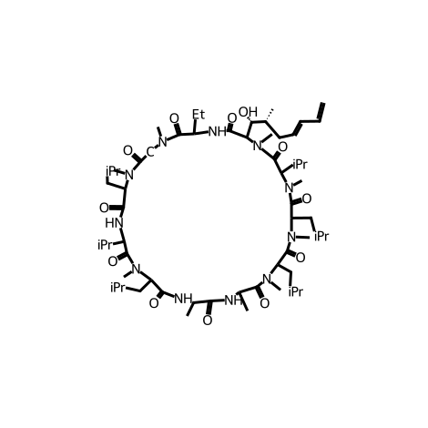 C=C/C=C/C[C@@H](C)[C@@H](O)C1C(=O)NC(CC)C(=O)N(C)CC(=O)N(C)C(CC(C)C)C(=O)NC(C(C)C)C(=O)N(C)C(CC(C)C)C(=O)NC(C)C(=O)NC(C)C(=O)N(C)C(CC(C)C)C(=O)N(C)C(CC(C)C)C(=O)N(C)C(C(C)C)C(=O)N1C